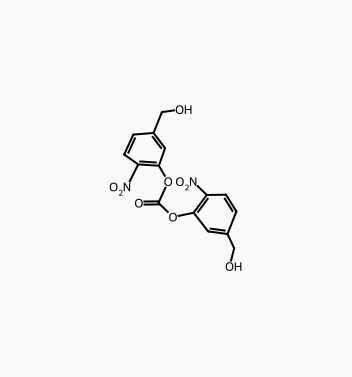 O=C(Oc1cc(CO)ccc1[N+](=O)[O-])Oc1cc(CO)ccc1[N+](=O)[O-]